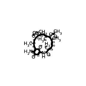 CO[C@H]1C[C@H](C)CC2=C(N)C(=O)C=C(NC(=O)/C(C)=C/C=C\[C@H](C)[C@@H](OC(C)=O)/C(C)=C/[C@H](C)C1=O)C2=O